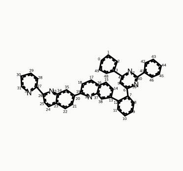 c1ccc(-c2cc(-c3ccccc3-c3ccc4ccc(-c5ccc6ccc(-c7ccccn7)nc6c5)nc4c3)nc(-c3ccccc3)n2)cc1